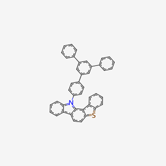 c1ccc(-c2cc(-c3ccccc3)cc(-c3ccc(-n4c5ccccc5c5ccc6sc7ccccc7c6c54)cc3)c2)cc1